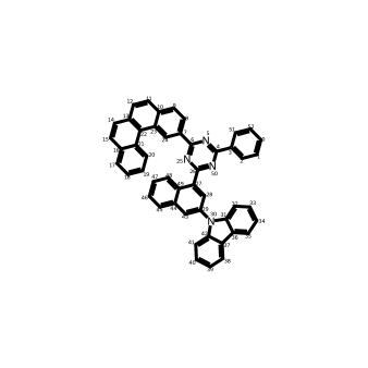 c1ccc(-c2nc(-c3ccc4ccc5ccc6ccccc6c5c4c3)nc(-c3cc(-n4c5ccccc5c5ccccc54)cc4ccccc34)n2)cc1